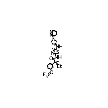 CCO[C@H](C(=O)Nc1nnc(N[C@@H]2CCN(c3cccnn3)C2)s1)c1cccc(OC(F)(F)F)c1